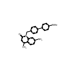 CNc1ccc(-c2ccc(Cn3c(=O)cc(C)c4ccc(N)cc43)cc2)cc1